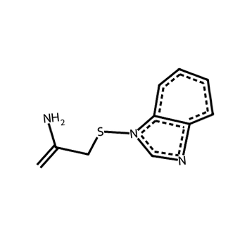 C=C(N)CSn1cnc2ccccc21